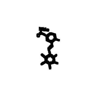 CNC(=O)c1ccc(C)c(/C=C/c2c(C)c(C)c(C)c(C)c2C)c1